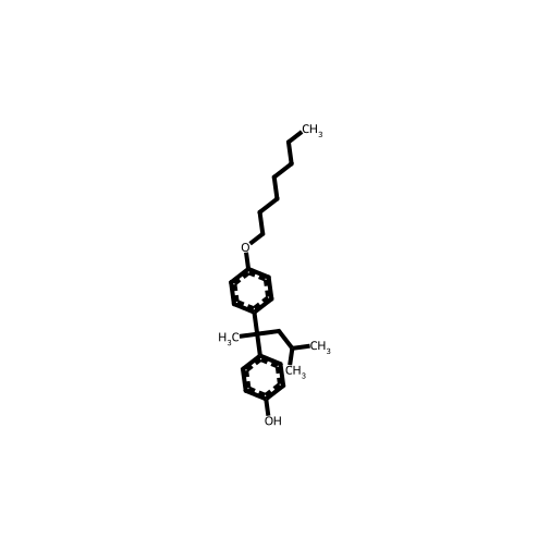 CCCCCCCOc1ccc(C(C)(CC(C)C)c2ccc(O)cc2)cc1